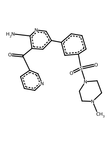 CN1CCN(S(=O)(=O)c2cccc(-c3cnc(N)c(C(=O)c4cccnc4)c3)c2)CC1